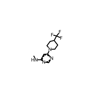 CNc1cc(N2CCC(C(F)(F)F)CC2)ncn1